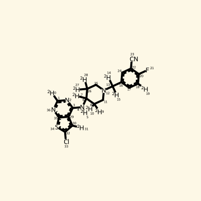 [2H]c1nc(N([2H])C2([2H])C([2H])([2H])CN(C([2H])([2H])c3cc([2H])c(F)c(C#N)c3)CC2([2H])[2H])c2c([2H])c(Cl)sc2n1